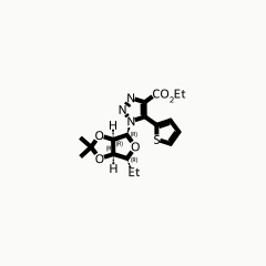 CCOC(=O)c1nnn([C@@H]2O[C@H](CC)[C@H]3OC(C)(C)O[C@H]32)c1-c1cccs1